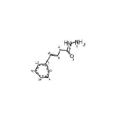 NNC(=O)CC=Cc1ccccc1